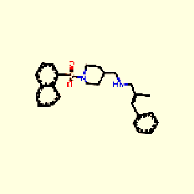 CC(=Cc1ccccc1)CNCC1CCN(S(=O)(=O)c2cccc3ccccc23)CC1